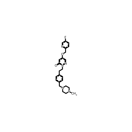 CN1CCN(Cc2ccc(CCn3ncc(OCc4ccc(F)cn4)cc3=O)cc2)CC1